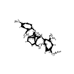 COc1ccc(/N=C2/C(=N/c3ccc(OC)cc3C)C3(C)CCC2C3(C)C)c(C)c1